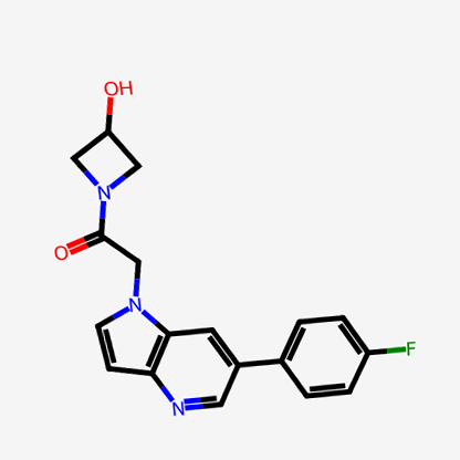 O=C(Cn1ccc2ncc(-c3ccc(F)cc3)cc21)N1CC(O)C1